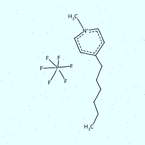 CCCCCCc1cc[n+](C)cc1.F[P-](F)(F)(F)(F)F